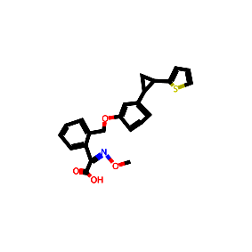 CON=C(C(=O)O)c1ccccc1COc1cccc(C2CC2c2cccs2)c1